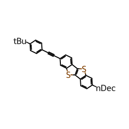 CCCCCCCCCCc1ccc2c(c1)sc1c3ccc(C#Cc4ccc(C(C)(C)C)cc4)cc3sc21